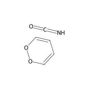 C1=COOC=C1.N=C=O